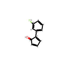 O=C1C=CC=C1c1cccc(F)c1